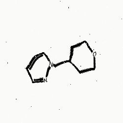 [c]1cnn(C2CCOCC2)c1